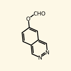 O=COc1ccc2cnncc2c1